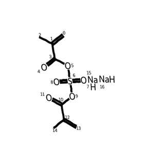 C=C(C)C(=O)OS(=O)(=O)OC(=O)C(=C)C.[NaH].[NaH]